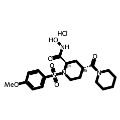 COc1ccc(S(=O)(=O)N2CC[C@@H](C(=O)N3CCCCC3)C[C@@H]2C(=O)NO)cc1.Cl